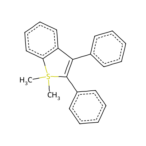 CS1(C)C(c2ccccc2)=C(c2ccccc2)c2ccccc21